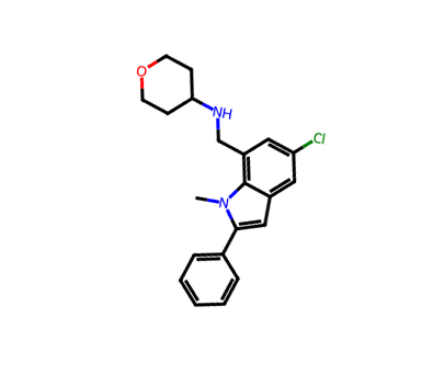 Cn1c(-c2ccccc2)cc2cc(Cl)cc(CNC3CCOCC3)c21